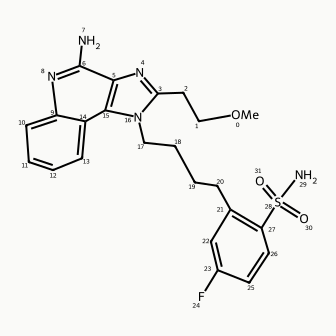 COCCc1nc2c(N)nc3ccccc3c2n1CCCCc1cc(F)ccc1S(N)(=O)=O